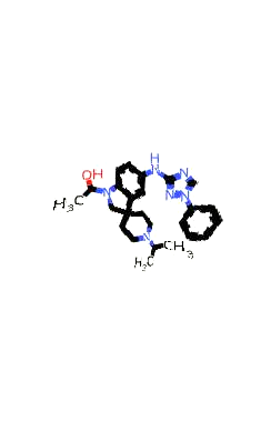 CC(C)N1CCC2(CC1)CN(C(C)O)c1ccc(Nc3ncn(-c4ccccc4)n3)cc12